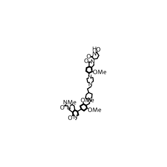 CNC(=O)N1CCc2c(-c3cc(OC)c(CN4CCC(CCN5CCN(c6ccc7c(c6OC)CN(C6CCC(=O)NC6=O)C7=O)CC5)CC4)c(OC)c3)cn(C)c(=O)c2C1